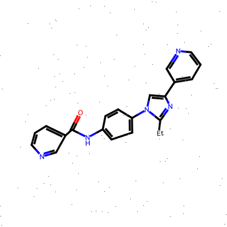 CCc1nc(-c2cccnc2)cn1-c1ccc(NC(=O)c2cccnc2)cc1